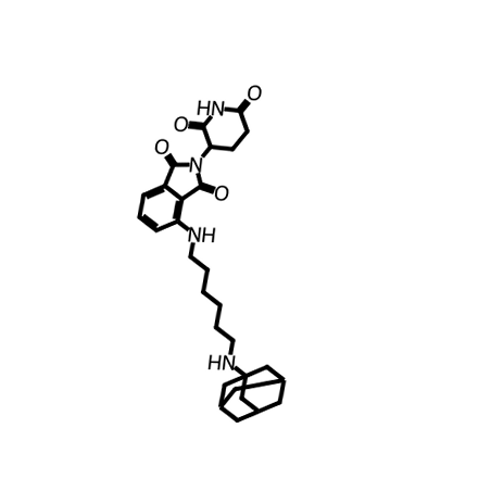 O=C1CCC(N2C(=O)c3cccc(NCCCCCCNC45CC6CC(CC(C6)C4)C5)c3C2=O)C(=O)N1